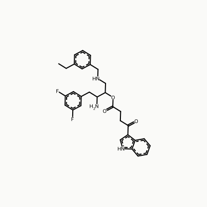 CCc1cccc(CNCC(OC(=O)CCC(=O)c2c[nH]c3ccccc23)C(N)Cc2cc(F)cc(F)c2)c1